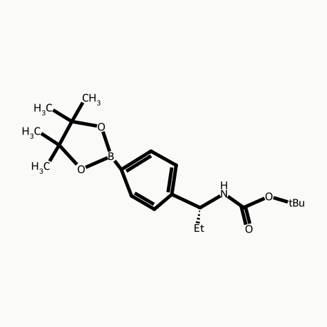 CC[C@@H](NC(=O)OC(C)(C)C)c1ccc(B2OC(C)(C)C(C)(C)O2)cc1